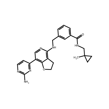 CC1(CNC(=O)c2cccc(CNc3ncc(-c4ccnc(N)n4)c4c3CCO4)c2)CC1